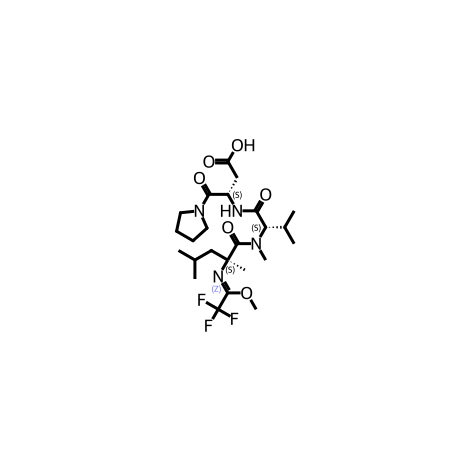 CO/C(=N\[C@@](C)(CC(C)C)C(=O)N(C)[C@H](C(=O)N[C@@H](CC(=O)O)C(=O)N1CCCC1)C(C)C)C(F)(F)F